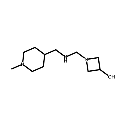 CN1CCC(CNCN2CC(O)C2)CC1